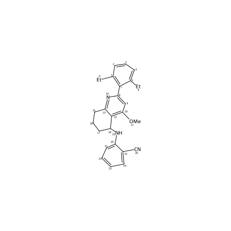 CCc1cccc(CC)c1-c1cc(OC)c2c(n1)CCCC2Nc1ccccc1C#N